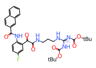 CC(C)(C)OC(=O)/N=C(/NCCCNC(=O)C(=O)c1cc(F)ccc1NC(=O)c1ccc2ccccc2c1)NC(=O)OC(C)(C)C